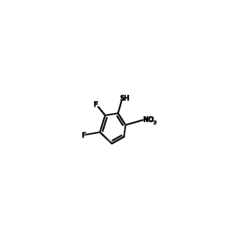 O=[N+]([O-])c1ccc(F)c(F)c1S